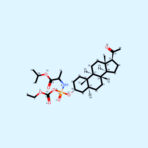 CCOC(=O)O[P@](=O)(NC(C)C(=O)OC(C)C)O[C@@H]1CC[C@@]2(C)[C@@H](CC[C@@H]3[C@@H]2CC[C@]2(C)[C@@H](C(C)=O)CC[C@@H]32)C1